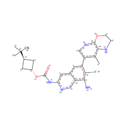 Cc1c(-c2cc3cc(NC(=O)O[C@H]4C[C@H](C(C)(C)C#N)C4)ncc3c(N)c2F)cnc2c1NCCO2